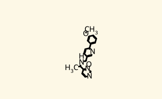 COc1cccc(-c2ccc(C(=O)NC(C)c3ccncn3)cn2)c1